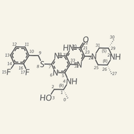 C[C@H](CO)Nc1nc(SCc2cccc(F)c2F)nc2[nH]c(=O)c(N3C[C@@H](C)N[C@@H](C)C3)nc12